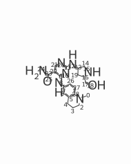 CN1CCCc2cc(Nc3nc(N[C@H]4CN[C@@H](CO)C4)ncc3C(N)=O)ccc21